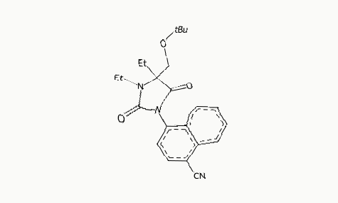 CCN1C(=O)N(c2ccc(C#N)c3ccccc23)C(=O)C1(CC)COC(C)(C)C